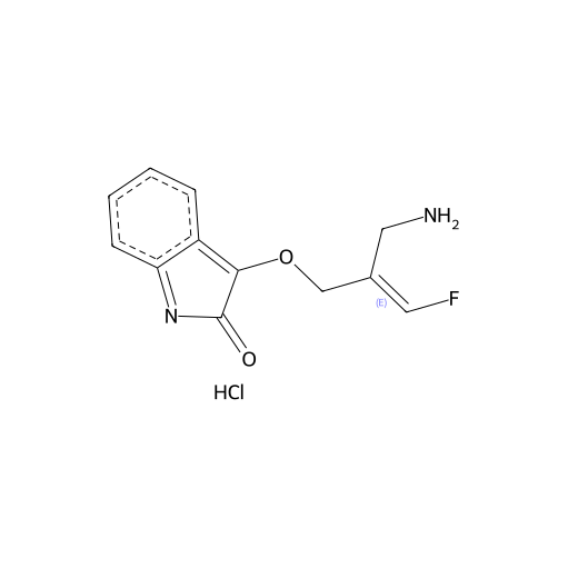 Cl.NC/C(=C\F)COC1=c2ccccc2=NC1=O